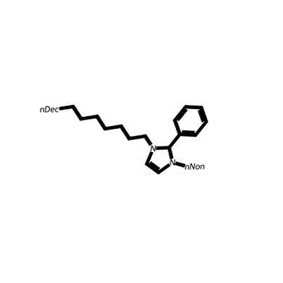 CCCCCCCCCCCCCCCCCN1C=CN(CCCCCCCCC)C1c1ccccc1